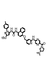 Cc1ccc(-n2nc(C(C)(C)C)cc2NC(=O)Nc2ccc(OCc3ccnc(Nc4cnc(C(=O)N5CCC(N(C)C)C5)cn4)c3)c3ccccc23)cc1